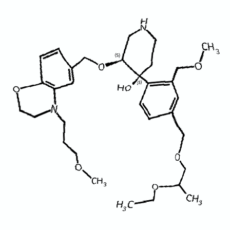 CCOC(C)COCc1ccc([C@@]2(O)CCNC[C@@H]2OCc2ccc3c(c2)N(CCCOC)CCO3)c(COC)c1